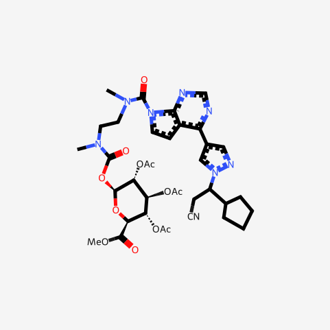 COC(=O)[C@H]1O[C@@H](OC(=O)N(C)CCN(C)C(=O)n2ccc3c(-c4cnn(C(CC#N)C5CCCC5)c4)ncnc32)[C@H](OC(C)=O)[C@@H](OC(C)=O)[C@@H]1OC(C)=O